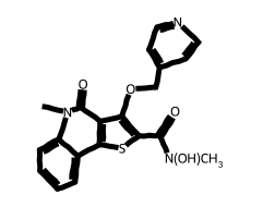 CN(O)C(=O)c1sc2c(c1OCc1ccncc1)c(=O)n(C)c1ccccc21